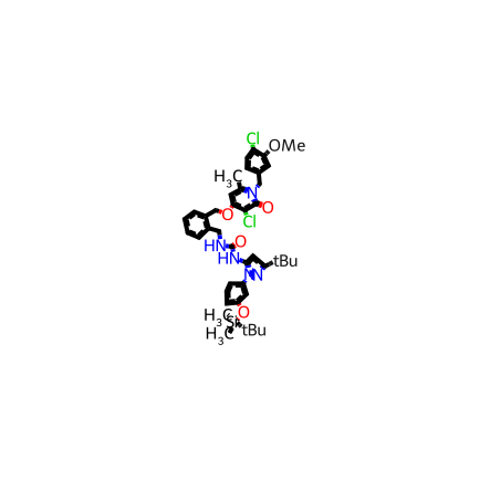 COc1cc(Cn2c(C)cc(OCc3ccccc3CNC(=O)Nc3cc(C(C)(C)C)nn3-c3cccc(O[Si](C)(C)C(C)(C)C)c3)c(Cl)c2=O)ccc1Cl